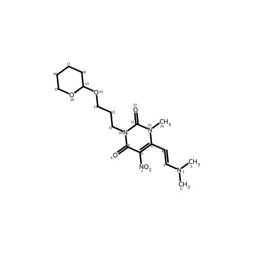 CN(C)C=Cc1c([N+](=O)[O-])c(=O)n(CCCOC2CCCCO2)c(=O)n1C